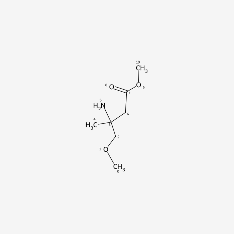 COCC(C)(N)CC(=O)OC